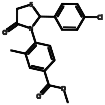 COC(=O)c1ccc(N2C(=O)CSC2c2ccc(Cl)cc2)c(C)c1